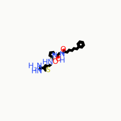 N=C(N)c1csc(CNC(=O)[C@@H]2CCCN2C(=O)CNC(=O)CCCCCc2ccccc2)c1